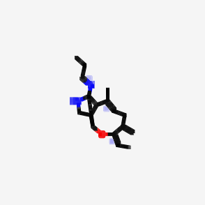 C=C1C/C=C(\C)C2C3CNC2(/N=C/CC)C3O/C1=C/C